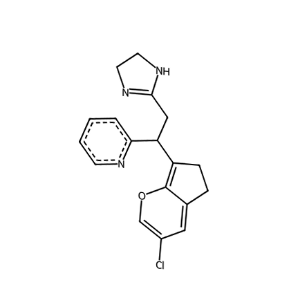 ClC1=COC2=C(C(CC3=NCCN3)c3ccccn3)CCC2=C1